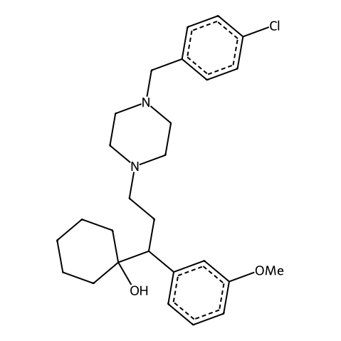 COc1cccc(C(CCN2CCN(Cc3ccc(Cl)cc3)CC2)C2(O)CCCCC2)c1